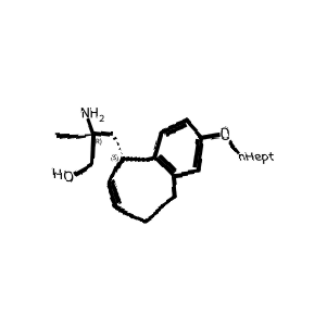 CCCCCCCOc1ccc2c(c1)CCC=C[C@@H]2C[C@@](C)(N)CO